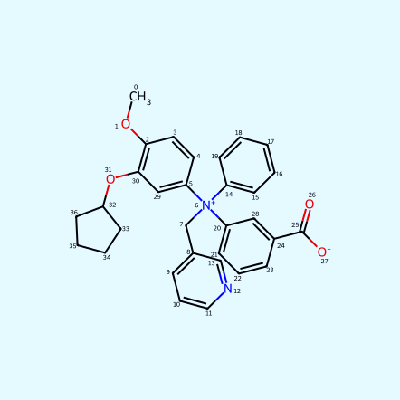 COc1ccc([N+](Cc2cccnc2)(c2ccccc2)c2cccc(C(=O)[O-])c2)cc1OC1CCCC1